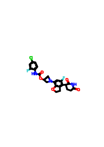 O=C1CCC(c2c(F)cc(N3CC(OC(=O)Nc4ccc(Cl)cc4F)C3)c3c2CCO3)C(=O)N1